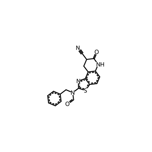 N#CC1Cc2c(ccc3sc(N(C=O)Cc4ccccc4)nc23)NC1=O